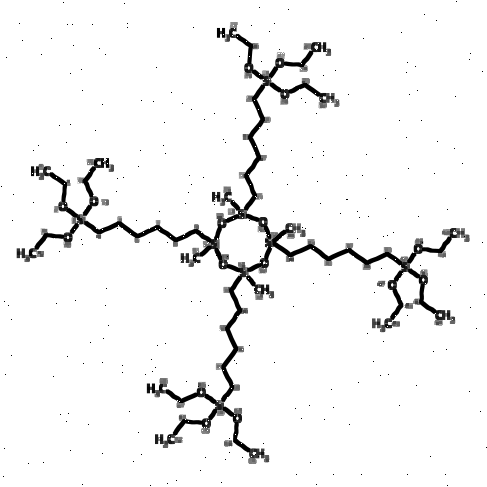 CCO[Si](CCCCCC[Si]1(C)O[Si](C)(CCCCCC[Si](OCC)(OCC)OCC)O[Si](C)(CCCCCC[Si](OCC)(OCC)OCC)O[Si](C)(CCCCCC[Si](OCC)(OCC)OCC)O1)(OCC)OCC